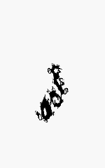 COc1ccc(N2CCN(C(=O)c3cc4c(s3)SCCC4=O)CC2)cc1